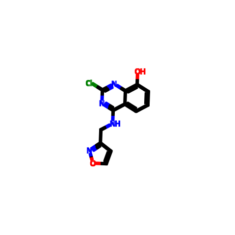 Oc1cccc2c(NCc3ccon3)nc(Cl)nc12